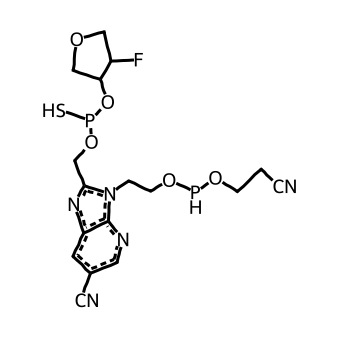 N#CCCOPOCCn1c(COP(S)OC2COCC2F)nc2cc(C#N)cnc21